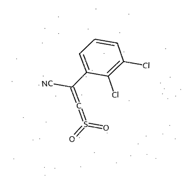 N#CC(=C=S(=O)=O)c1cccc(Cl)c1Cl